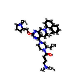 CC(=O)N(C)C/C=C/C(=O)N1CCN(c2nc(OCC3CCCN3C)nc3c2CCN(c2cccc4cccc(C)c24)C3)C[C@@H]1CC#N